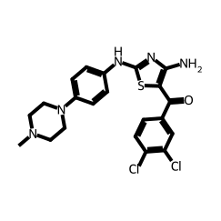 CN1CCN(c2ccc(Nc3nc(N)c(C(=O)c4ccc(Cl)c(Cl)c4)s3)cc2)CC1